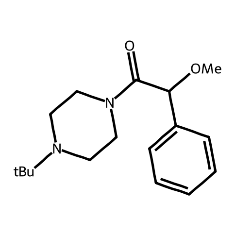 COC(C(=O)N1CCN(C(C)(C)C)CC1)c1ccccc1